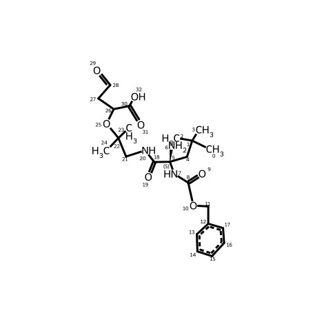 CC(C)(C)C[C@](N)(NC(=O)OCc1ccccc1)C(=O)NCC(C)(C)OC(CC=O)C(=O)O